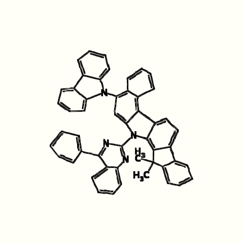 CC1(C)c2ccccc2-c2ccc3c4c5ccccc5c(-n5c6ccccc6c6ccccc65)cc4n(-c4nc(-c5ccccc5)c5ccccc5n4)c3c21